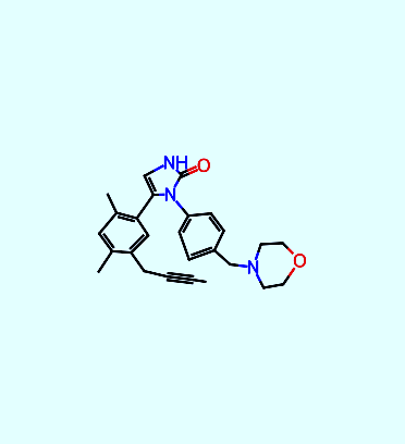 CC#CCc1cc(-c2c[nH]c(=O)n2-c2ccc(CN3CCOCC3)cc2)c(C)cc1C